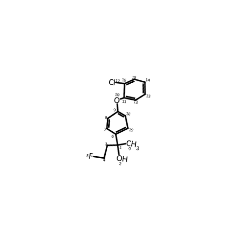 CC(O)(CCF)c1ccc(Oc2ccccc2Cl)cc1